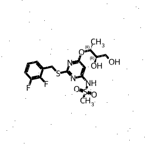 C[C@@H](Oc1cc(NS(C)(=O)=O)nc(SCc2cccc(F)c2F)n1)[C@H](O)CO